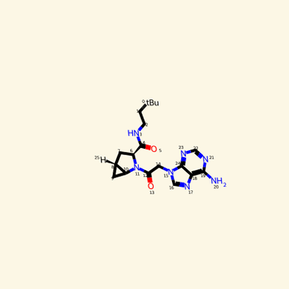 CC(C)(C)CCNC(=O)[C@@H]1C[C@H]2CC2N1C(=O)Cn1cnc2c(N)ncnc21